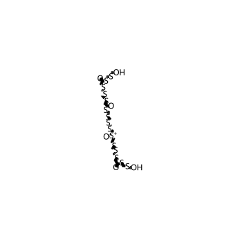 O=C(CSCSCSCC[S+]([O-])CSCSCSCSC(=O)CSCSCSCC(=O)SCSCO)SCSCO